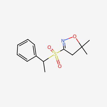 CC(c1ccccc1)S(=O)(=O)C1=NOC(C)(C)C1